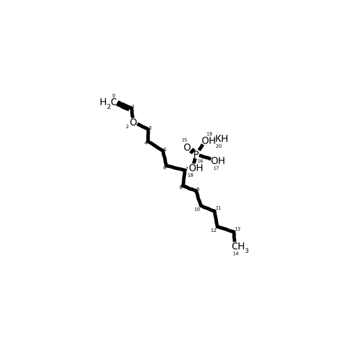 C=COCCCCCCCCCCCC.O=P(O)(O)O.[KH]